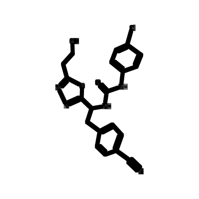 N#Cc1ccc(CC(NC(=O)Nc2ccc(Cl)cc2)c2nnc(CCO)o2)cc1